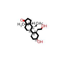 CC(=O)OC[C@@H]1[C@@H]([C@@H]2CC[C@H](O)C[C@@H]2CCO)CC[C@]2(C)C(=O)CC[C@@H]12